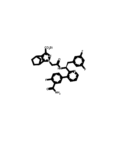 CCOC(=O)c1nn(CC(=O)N[C@@H](Cc2cc(F)cc(F)c2)c2ncccc2-c2ccc(F)c(C(N)=O)c2)c2c1C1CCC2C1